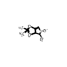 CCC1C2OC(C)(C)OC2C[S+]1[O-]